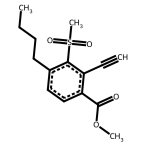 C#Cc1c(C(=O)OC)ccc(CCCC)c1S(C)(=O)=O